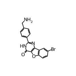 NCc1ccc(-c2nc3c(oc4ccc(Br)cc43)c(=O)[nH]2)cc1